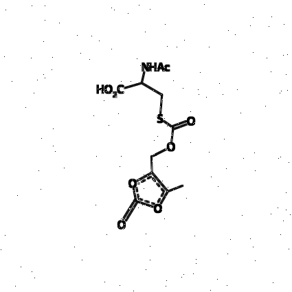 CC(=O)NC(CSC(=O)OCc1oc(=O)oc1C)C(=O)O